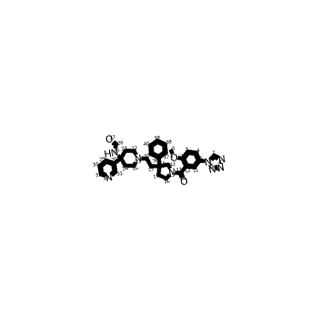 COc1ccc(-n2cnnn2)cc1C(=O)N1CCC(CCN2CCC(NC=O)(c3cccnc3)CC2)(c2ccccc2)C1